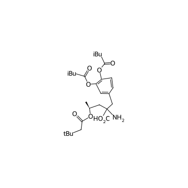 CCC(C)C(=O)Oc1ccc(CC(N)(C[C@H](C)OC(=O)CC(C)(C)C)C(=O)O)cc1OC(=O)C(C)CC